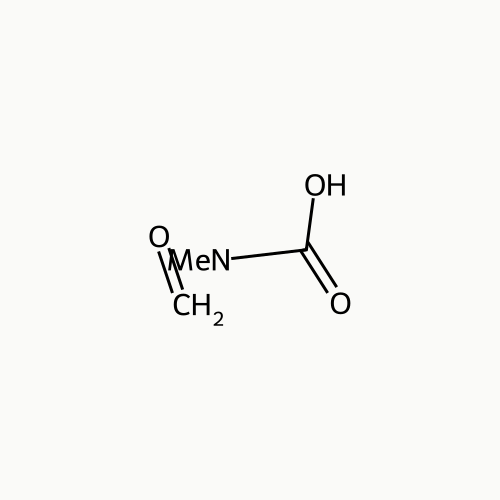 C=O.CNC(=O)O